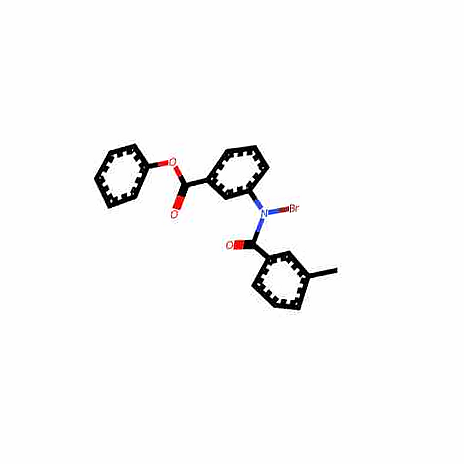 Cc1cccc(C(=O)N(Br)c2cccc(C(=O)Oc3ccccc3)c2)c1